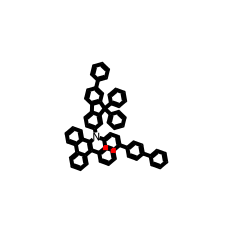 c1ccc(-c2ccc(-c3ccc(N(c4ccc5c(c4)C(c4ccccc4)(c4ccccc4)c4cc(-c6ccccc6)ccc4-5)c4c(-c5ccccc5)c5ccccc5c5ccccc45)cc3)cc2)cc1